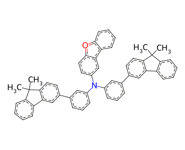 CC1(C)c2ccccc2-c2cc(-c3cccc(N(c4cccc(-c5ccc6c(c5)-c5ccccc5C6(C)C)c4)c4ccc5oc6ccccc6c5c4)c3)ccc21